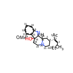 C/C=C(/C(C)=O)[C@H]1C[C@H]2C3=Nc4cccc(OC)c4[C@@]3(O)CCN2C[C@H]1CC